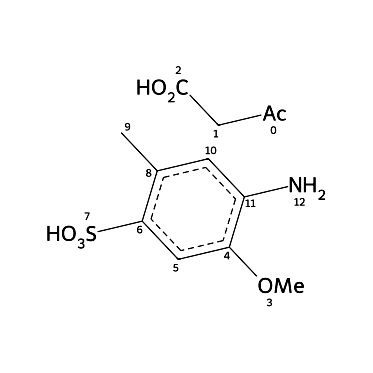 CC(=O)CC(=O)O.COc1cc(S(=O)(=O)O)c(C)cc1N